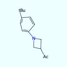 CC(=O)C1CN(c2ccc(C(C)(C)C)cc2)C1